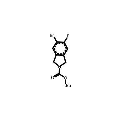 CC(C)(C)OC(=O)N1Cc2cc(F)c(Br)cc2C1